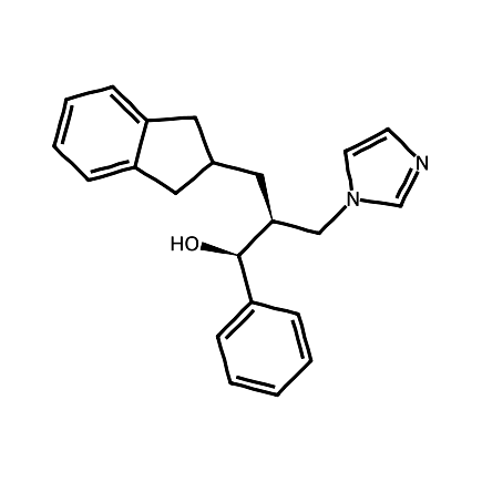 O[C@H](c1ccccc1)[C@@H](CC1Cc2ccccc2C1)Cn1ccnc1